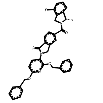 C[C@H]1c2cccc(F)c2CN1C(=O)c1ccc2c(c1)CN(c1ccc(OCc3ccccc3)nc1OCc1ccccc1)C2=O